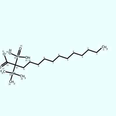 CCCCCCCCCCCCC(C(=O)[O-])([N+](C)(C)C)P(=O)(O)O